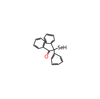 O=C(c1ccccc1)C([SeH])(c1ccccc1)c1ccccc1